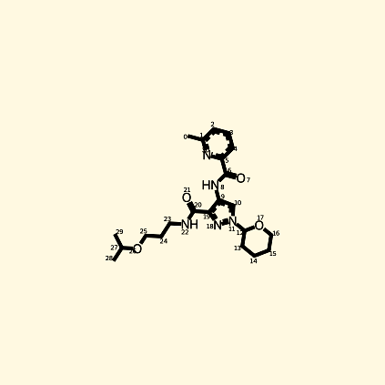 Cc1cccc(C(=O)Nc2cn(C3CCCCO3)nc2C(=O)NCCCOC(C)C)n1